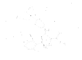 COC1(c2ccc(Nc3cc(-c4c(F)cccc4F)nnc3C(=O)O)cc2)COC1